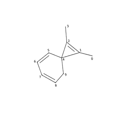 CC1=C(C)C12C=CC=CC2